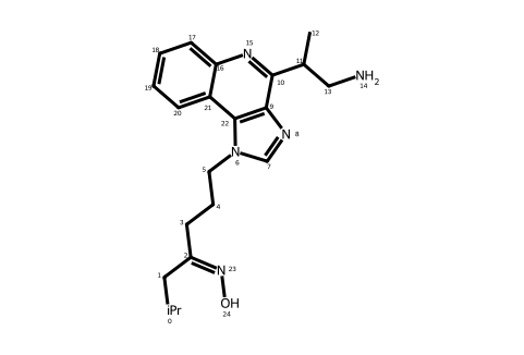 CC(C)CC(CCCn1cnc2c(C(C)CN)nc3ccccc3c21)=NO